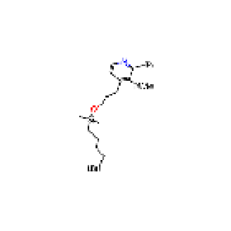 [CH2]Nc1c(CCCO[Si](C)(C)CCCCC(C)(C)C)ccnc1C(C)C